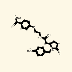 COC(=O)c1ccc(OCCOC(=O)CC2CCC(=O)N2Cc2ccc(C)cc2)cc1